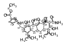 CCOC(=O)c1csc(NCc2cc(N(C)C)c3c(c2O)C(=O)C2=C(O)C4(O)C(=O)C(C(N)=O)=C(O)C(N(C)C)C4CC2C3)n1